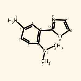 CN(C)c1ccc(N)cc1-c1ncco1